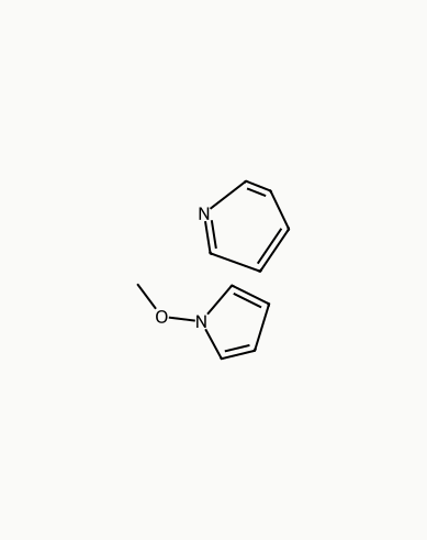 COn1cccc1.c1ccncc1